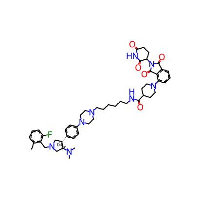 Cc1cccc(F)c1CN1C[C@H](c2ccc(N3CCN(CCCCCCNC(=O)C4CCN(c5cccc6c5C(=O)N(C5CCC(=O)NC5=O)C6=O)CC4)CC3)cc2)[C@@H](N(C)C)C1